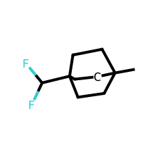 CC12CCC(C(F)F)(CC1)CC2